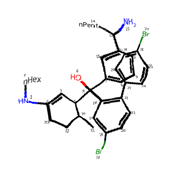 CCCCCCNC1=CC(C(O)(c2cccc(C(N)CCCCC)c2)c2cc(Br)ccc2-c2ccc(Br)cc2)C(C)CC1